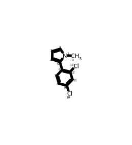 Cn1c[c]cc1-c1ccc(Cl)cc1Cl